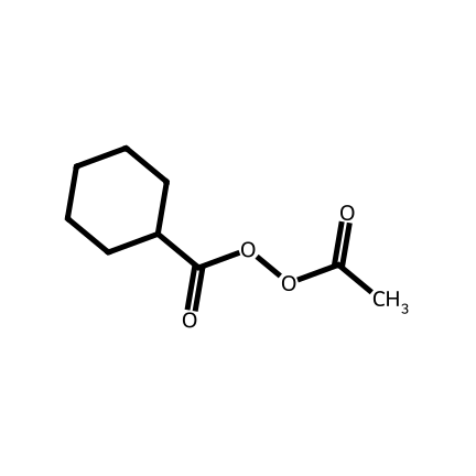 CC(=O)OOC(=O)C1CCCCC1